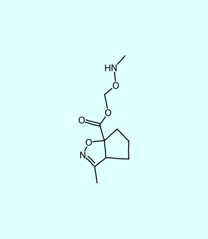 CNOCOC(=O)C12CCCC1C(C)=NO2